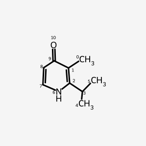 Cc1c(C(C)C)[nH]ccc1=O